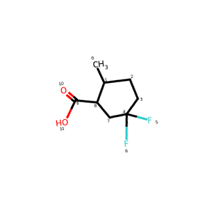 CC1CCC(F)(F)CC1C(=O)O